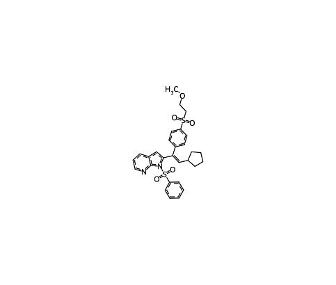 COCCS(=O)(=O)c1ccc(C(=CC2CCCC2)c2cc3cccnc3n2S(=O)(=O)c2ccccc2)cc1